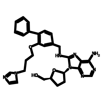 Nc1ncnc2c1nc(NCc1ccc(-c3ccccc3)c(OCCCn3ccnc3)c1)n2[C@H]1CC[C@@H](CO)O1